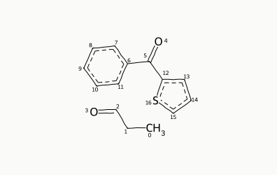 CCC=O.O=C(c1ccccc1)c1cccs1